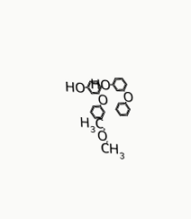 CCOCC.Oc1cccc(Oc2ccccc2)c1.Oc1cccc(Oc2ccccc2)c1